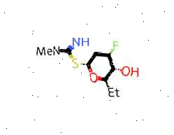 CC[C@H]1O[C@H](SC(=N)NC)C[C@@H](F)[C@@H]1O